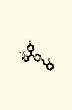 Cn1nccc1C(c1ccc(F)cn1)N1CCN(CCc2ccccc2F)CC1